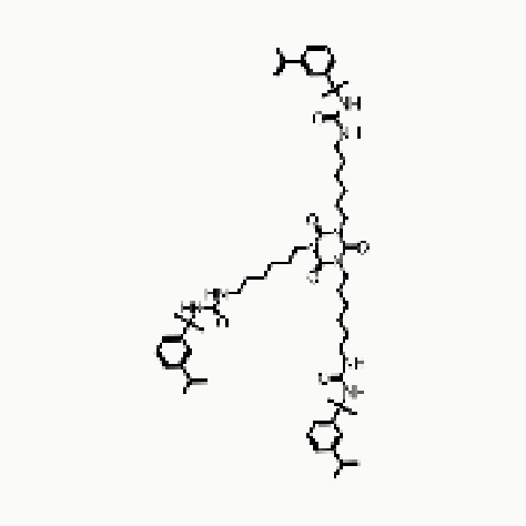 C=C(C)c1cccc(C(C)(C)NC(=O)NCCCCCCn2c(=O)n(CCCCCCNC(=O)NC(C)(C)c3cccc(C(=C)C)c3)c(=O)n(CCCCCCNC(=O)NC(C)(C)c3cccc(C(=C)C)c3)c2=O)c1